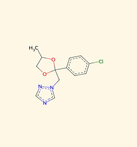 CC1COC(Cn2cncn2)(c2ccc(Cl)cc2)O1